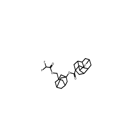 O=C(OCC12CC3CC(C1)CC(OC(=O)C14CC5C6CC7CC5C(C1)C(C7)C6C4)(C3)C2)C(F)F